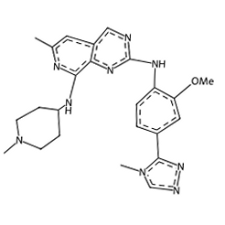 COc1cc(-c2nncn2C)ccc1Nc1ncc2cc(C)nc(NC3CCN(C)CC3)c2n1